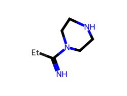 CCC(=N)N1CCNCC1